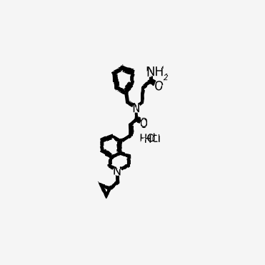 Cl.Cl.NC(=O)CCN(Cc1ccccc1)C(=O)C=Cc1cccc2c1CCN(CC1CC1)C2